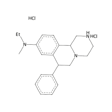 CCN(C)c1ccc2c(c1)C(c1ccccc1)CN1CCNCC21.Cl.Cl